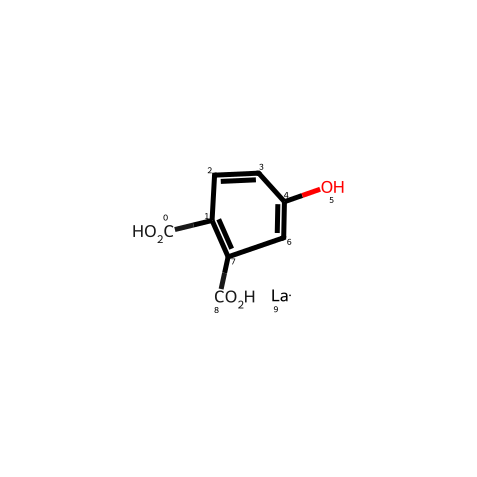 O=C(O)c1ccc(O)cc1C(=O)O.[La]